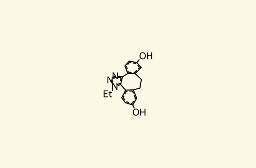 CCn1nnc2c1-c1ccc(O)cc1CCc1cc(O)ccc1-2